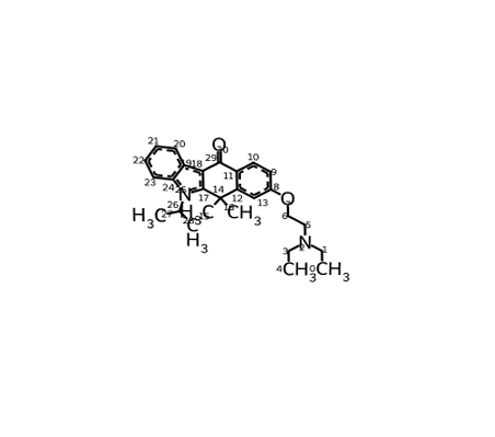 CCN(CC)CCOc1ccc2c(c1)C(C)(C)c1c(c3ccccc3n1C(C)C)C2=O